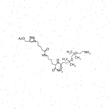 CC(=O)OCc1cn(CCCCC(=O)NCCCCC(NC(=O)CCC(C)(C)OCC(C)(C)OCCN)C(N)=O)nn1